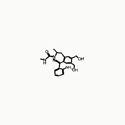 CNC(=O)N1N=C(c2ccccc2N)c2cc(CO)c(CO)cc2CC1C